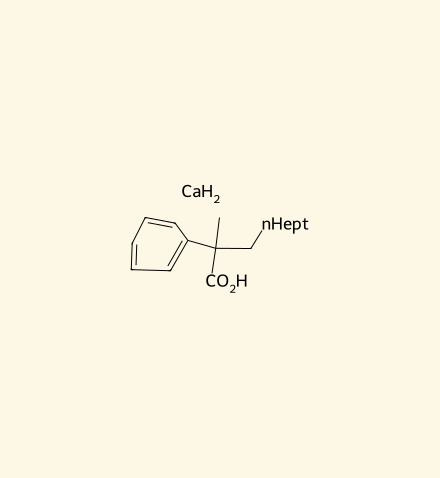 CCCCCCCCC(C)(C(=O)O)c1ccccc1.[CaH2]